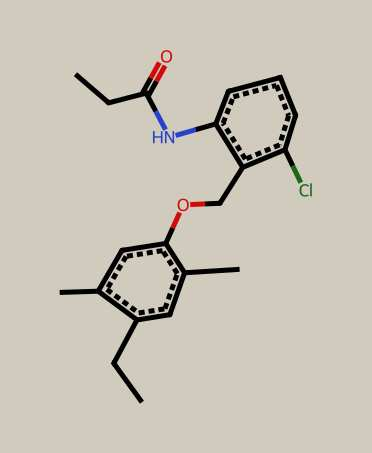 CCC(=O)Nc1cccc(Cl)c1COc1cc(C)c(CC)cc1C